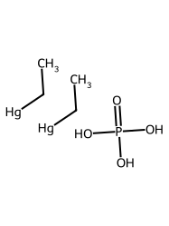 C[CH2][Hg].C[CH2][Hg].O=P(O)(O)O